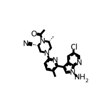 CC(=O)N1[C@H](C)CN(c2ccc(C)c(-c3cn(N)c4ncc(Cl)cc34)n2)C[C@@H]1C#N